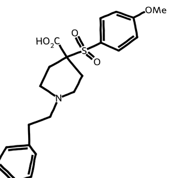 COc1ccc(S(=O)(=O)C2(C(=O)O)CCN(CCc3ccccc3)CC2)cc1